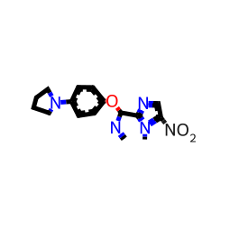 C=NC(Oc1ccc(N2CCCC2)cc1)c1ncc([N+](=O)[O-])n1C